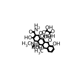 C[C@H]1c2cccc(O)c2C(=O)C2=C(O)[C@]3(O)C(=O)C(C(N)=O)=C(O)[C@@H](N(C)C)[C@H]3[C@@H](O)[C@@H]21.O=C(O)C(=O)O